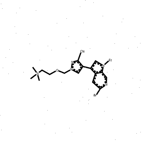 CCn1cc(-c2cn(COCC[Si](C)(C)C)nc2C#N)c2cc(Br)ncc21